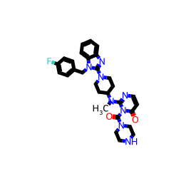 CN(c1nccc(=O)n1C(=O)N1CCNCC1)C1CCN(c2nc3ccccc3n2Cc2ccc(F)cc2)CC1